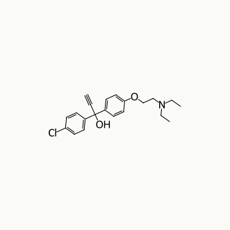 C#CC(O)(c1ccc(Cl)cc1)c1ccc(OCCN(CC)CC)cc1